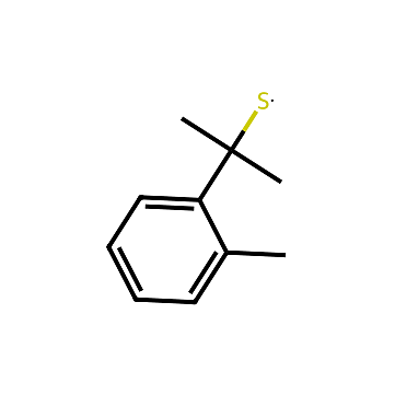 Cc1ccccc1C(C)(C)[S]